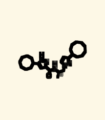 C[C@H](Cn1ccc(C2CCCCCCCC2)n1)NC(=O)c1cc(C2CCCCCCC2)[nH]n1